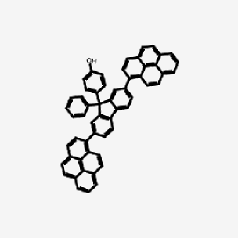 Oc1ccc(C2(c3ccccc3)c3cc(-c4ccc5ccc6cccc7ccc4c5c67)ccc3-c3ccc(-c4ccc5ccc6cccc7ccc4c5c67)cc32)cc1